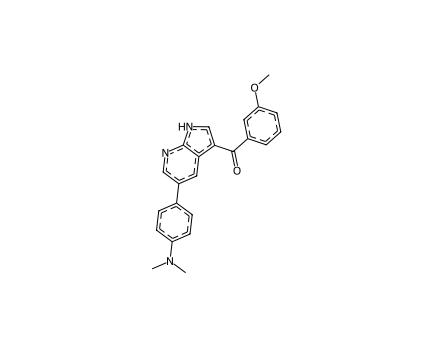 COc1cccc(C(=O)c2c[nH]c3ncc(-c4ccc(N(C)C)cc4)cc23)c1